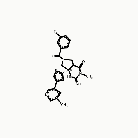 Cc1cncc(-c2csc([C@]34CN(C(=O)c5cccc(F)c5)CC3C(=O)N(C)C(=N)N4)c2)c1